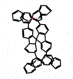 C1=CC2c3ccc(N(c4ccccc4)c4ccccc4)cc3C3(c4cc(N(c5ccccc5)c5ccccc5)ccc4-c4ccc(N(c5ccccc5)c5ccccc5)cc43)C2C=C1N(c1ccccc1)c1ccccc1